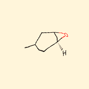 CC1CC2O[C@H]2C1